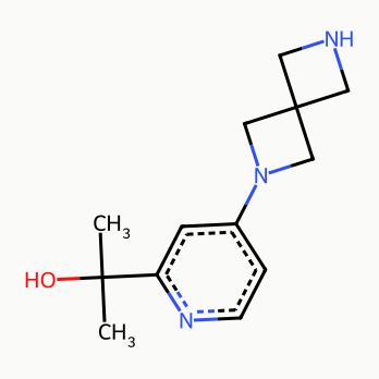 CC(C)(O)c1cc(N2CC3(CNC3)C2)ccn1